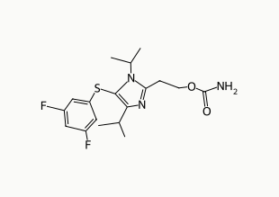 CC(C)c1nc(CCOC(N)=O)n(C(C)C)c1Sc1cc(F)cc(F)c1